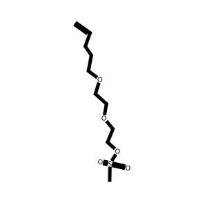 C=CCCCOCCOCCOS(C)(=O)=O